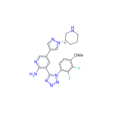 COc1ccc(-n2nnnc2-c2cc(-c3cnn([C@H]4CCCNC4)c3)cnc2N)c(F)c1F